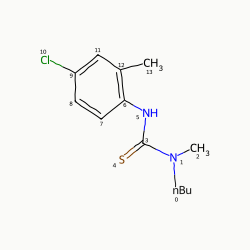 CCCCN(C)C(=S)Nc1ccc(Cl)cc1C